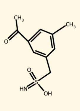 CC(=O)c1cc(C)cc(CS(=N)(=O)O)c1